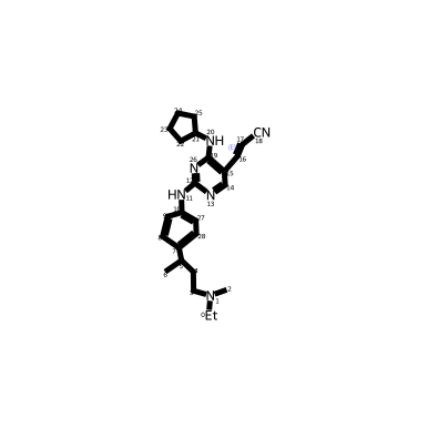 CCN(C)CCC(C)c1ccc(Nc2ncc(/C=C/C#N)c(NC3CCCC3)n2)cc1